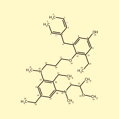 C/C=C\C(=C/C)Cc1cc(O)cc(CC)c1OCCCN(C)c1cc(CC)cc(N(C)CC(C)OC)c1CC